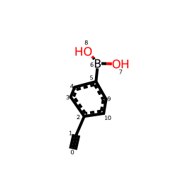 C#Cc1ccc(B(O)O)cc1